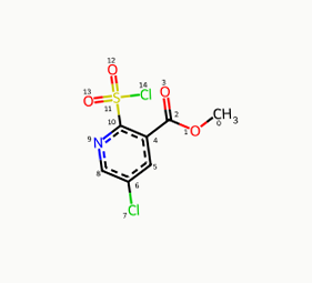 COC(=O)c1cc(Cl)cnc1S(=O)(=O)Cl